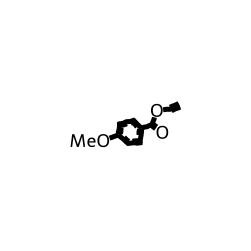 C#COC(=O)c1ccc(OC)cc1